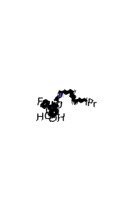 C/C(=C\CSCc1c(-c2ccc(F)cc2)oc2c(O)c(O)ccc2c1=O)CCC[C@H](C)CCC[C@H](C)CCCC(C)C